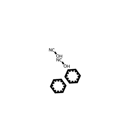 N#CO.N#CO.c1ccccc1.c1ccccc1